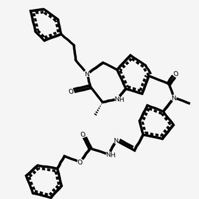 C[C@H]1Nc2cc(C(=O)N(C)c3ccc(C=NNC(=O)OCc4ccccc4)cc3)ccc2CN(CCc2ccccc2)C1=O